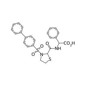 O=C(O)C(NC(=O)C1SCCN1S(=O)(=O)c1ccc(-c2ccccc2)cc1)c1ccccc1